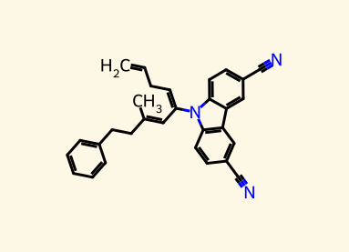 C=CC/C=C(\C=C(/C)CCc1ccccc1)n1c2ccc(C#N)cc2c2cc(C#N)ccc21